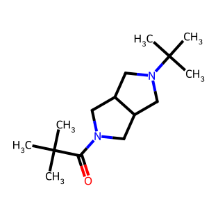 CC(C)(C)C(=O)N1CC2CN(C(C)(C)C)CC2C1